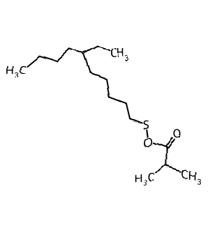 CCCCC(CC)CCCCCSOC(=O)C(C)C